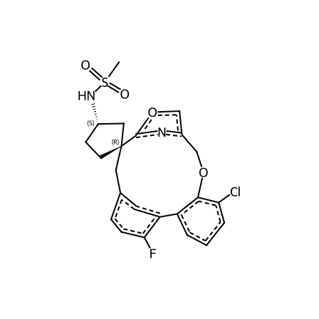 CS(=O)(=O)N[C@H]1CC[C@@]2(Cc3ccc(F)c(c3)-c3cccc(Cl)c3OCc3coc2n3)C1